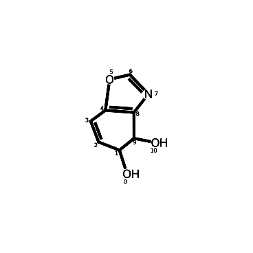 OC1C=Cc2ocnc2C1O